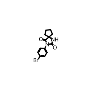 O=C1NC2(CCCC2)C(=O)N1c1ccc(Br)cc1